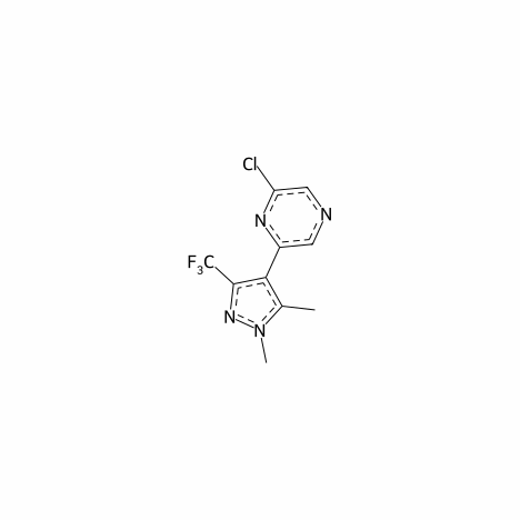 Cc1c(-c2cncc(Cl)n2)c(C(F)(F)F)nn1C